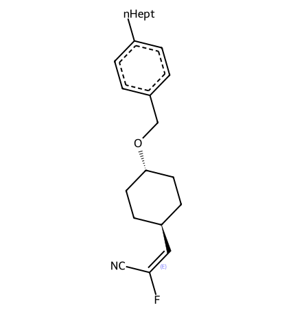 CCCCCCCc1ccc(CO[C@H]2CC[C@H](/C=C(/F)C#N)CC2)cc1